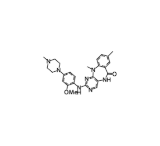 COc1cc(N2CCN(C)CC2)ccc1Nc1ncc2c(n1)N(C)c1ccc(C)cc1C(=O)N2